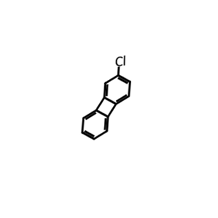 Clc1ccc2c(c1)-c1ccccc1-2